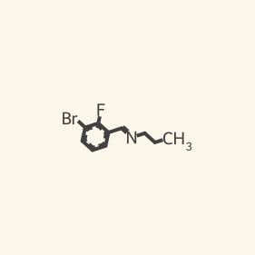 CCCN=Cc1cccc(Br)c1F